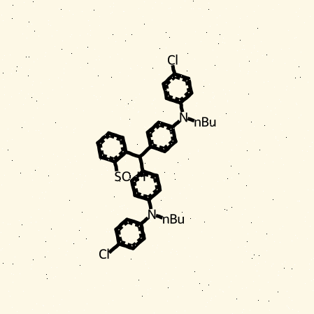 CCCCN(c1ccc(Cl)cc1)c1ccc(C(c2ccc(N(CCCC)c3ccc(Cl)cc3)cc2)c2ccccc2S(=O)(=O)O)cc1